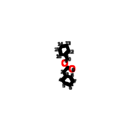 O=C(Cc1cc[c]cc1)OCc1ccccc1